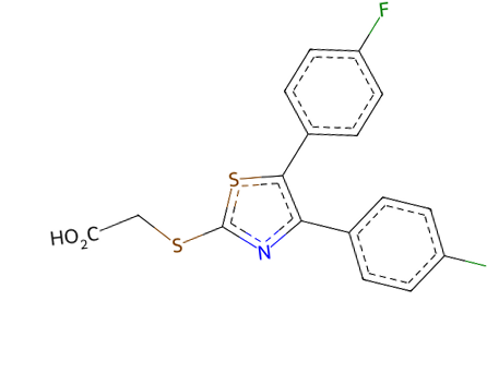 O=C(O)CSc1nc(-c2ccc(F)cc2)c(-c2ccc(F)cc2)s1